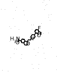 NC(=O)c1ccc2c(c1)CCOC2CCN1C=CC(c2ccc(F)c3ccoc23)CC1